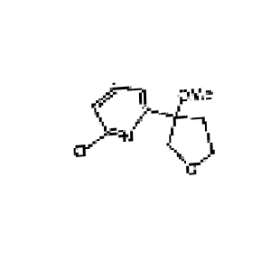 COC1(c2c[c]cc(Cl)n2)CCOC1